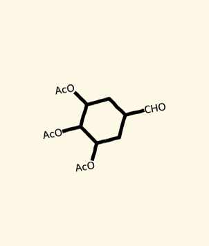 CC(=O)OC1CC(C=O)CC(OC(C)=O)C1OC(C)=O